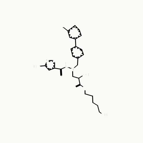 CCCCCCOC(=O)C(O)CN(Cc1ccc(-c2cccc(Cl)c2)cc1)NC(=O)c1cc(O)no1